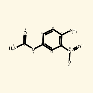 NC(=O)Oc1ccc(N)c([N+](=O)[O-])c1